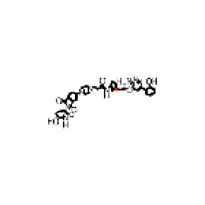 Nc1nnc(-c2ccccc2O)cc1OCCC1CC2(NC(=O)CCN3CCN(c4ccc5c(c4)C(=O)N(C4CCC(O)NC4=O)C5=O)CC3)CC1C2